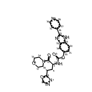 O=C(NC(CCc1nnco1)C(=O)N1CCOCC1)Oc1ccc2[nH]c(-c3ccncc3)nc2c1